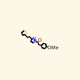 COc1ccc(CC(=O)n2ccc(/C=C/c3cccs3)n2)cc1